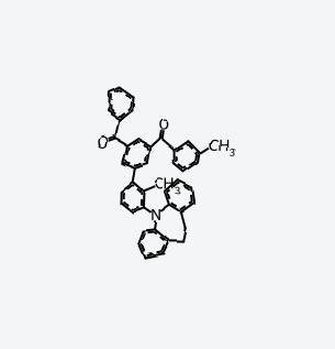 Cc1cccc(C(=O)c2cc(C(=O)c3ccccc3)cc(-c3cccc(N4c5ccccc5CCc5ccccc54)c3C)c2)c1